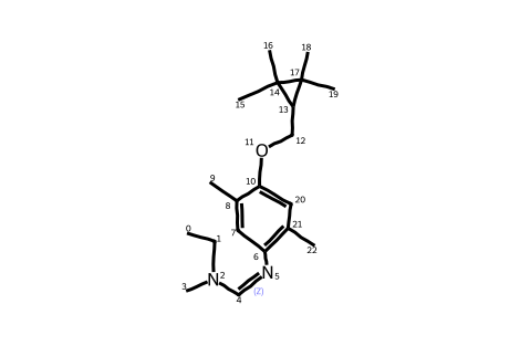 CCN(C)/C=N\c1cc(C)c(OCC2C(C)(C)C2(C)C)cc1C